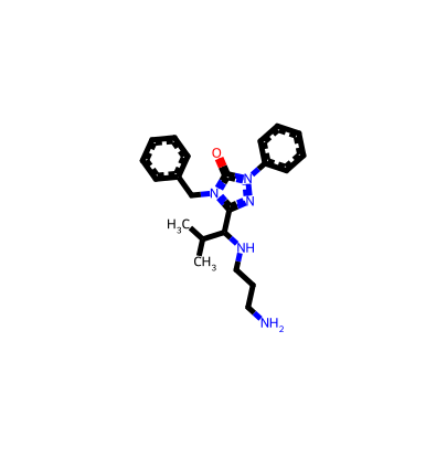 CC(C)C(NCCCN)c1nn(-c2ccccc2)c(=O)n1Cc1ccccc1